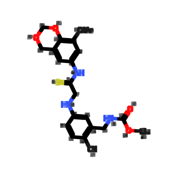 COc1cc(NC(=S)CNc2ccc(C#N)c(CNC(=O)OC(C)(C)C)c2)cc2c1OCOC2